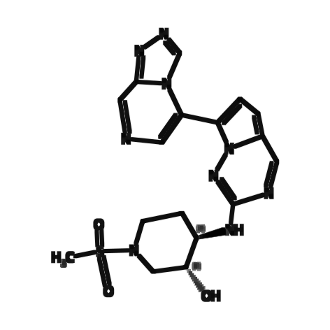 CS(=O)(=O)N1CC[C@@H](Nc2ncc3ccc(-c4cncc5nncn45)n3n2)[C@H](O)C1